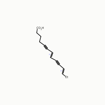 CC/C=C/C#C/C=C/C#CCCCC(=O)O